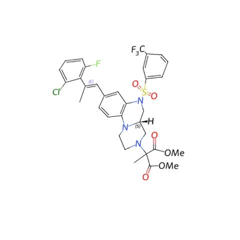 COC(=O)C(C)(C(=O)OC)N1CCN2c3ccc(/C=C(\C)c4c(F)cccc4Cl)cc3N(S(=O)(=O)c3cccc(C(F)(F)F)c3)C[C@@H]2C1